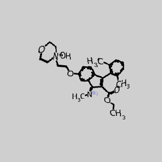 CCOC(=O)C1=C(c2c(C)cccc2C)c2ccc(OCC[N+]3(O)CCOCC3)cc2/C1=N\C